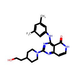 Cc1cc(Nc2nc(N3CCC(CCO)CC3)nc3cc[nH]c(=O)c23)cc(C(F)(F)F)c1